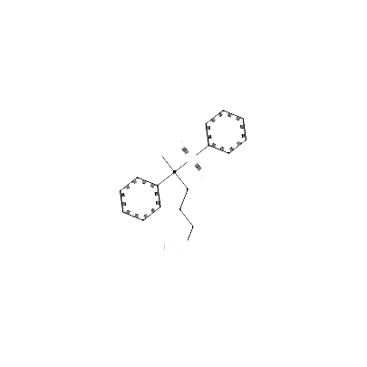 CC(CCCC(=O)O)(c1ccccc1)S(=O)(=O)c1ccccc1